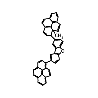 CC12C=Cc3cccc4ccc(c1c34)C=CC2c1ccc2oc3ccc(-c4ccc5ccc6cccc7ccc4c5c67)cc3c2c1